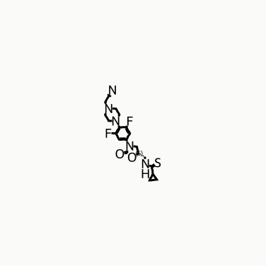 N#CCN1CCN(c2c(F)cc(N3C[C@H](CNC(=S)C4CC4)OC3=O)cc2F)CC1